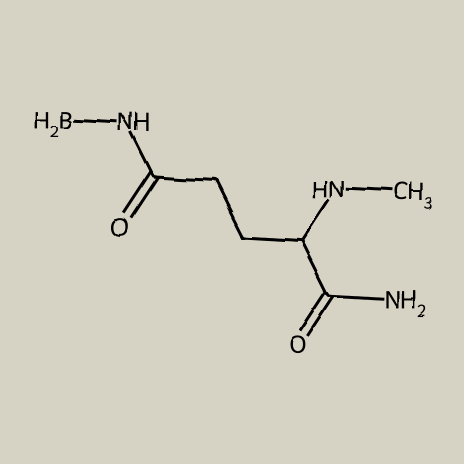 BNC(=O)CCC(NC)C(N)=O